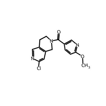 COc1ccc(C(=O)N2CCc3cnc(Cl)cc3C2)cn1